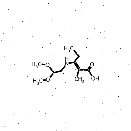 CCC(NCC(OC)OC)=C(C)C(=O)O